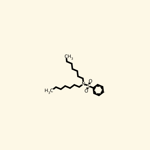 CCCCCCCN(CCCCCCC)S(=O)(=O)c1cc[c]cc1